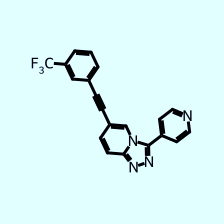 FC(F)(F)c1cccc(C#Cc2ccc3nnc(-c4ccncc4)n3c2)c1